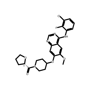 COc1cc2c(Nc3cccc(Cl)c3F)ncnc2cc1OC1CCN(C(=O)[C@@H]2CCCO2)CC1